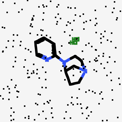 Cl.Cl.c1ccc(N2CCN3CCC2C3)nc1